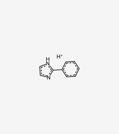 [H+].c1ccc(-c2ncc[nH]2)cc1